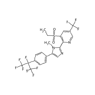 CCS(=O)(=O)c1cc(C(F)(F)F)cnc1-c1ncc(-c2ccc(C(F)(C(F)(F)F)C(F)(F)F)cc2)n1C